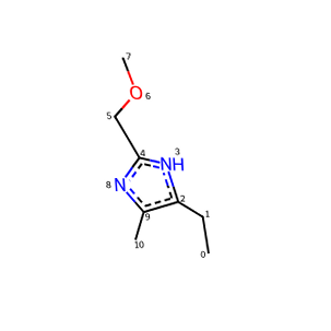 CCc1[nH]c(COC)nc1C